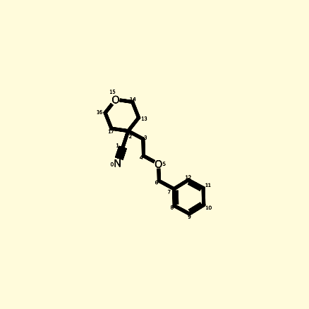 N#CC1(CCOCc2ccccc2)CCOCC1